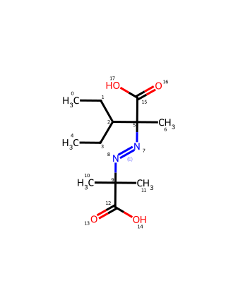 CCC(CC)C(C)(/N=N/C(C)(C)C(=O)O)C(=O)O